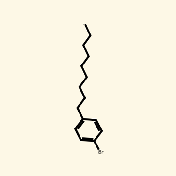 [CH2]CCCCCCCCc1ccc(Br)cc1